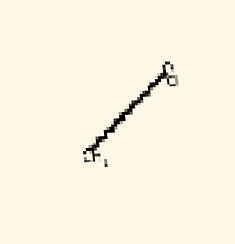 CCCCCC=CCC=CCCCCCCCCC(=O)Cl